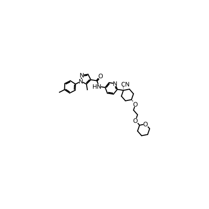 Cc1ccc(-n2ncc(C(=O)Nc3ccc([C@]4(C#N)CC[C@@H](OCCOC5CCCCO5)CC4)nc3)c2C)cc1